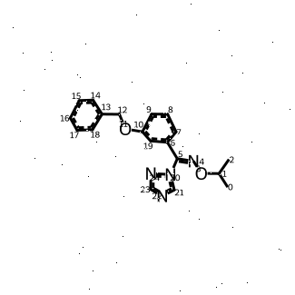 CC(C)ON=C(c1cccc(OCc2ccccc2)c1)n1cncn1